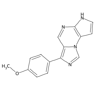 COc1ccc(-c2ncn3c2cnc2[nH]ccc23)cc1